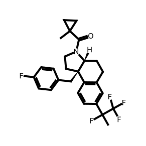 CC1(C(=O)N2CC[C@@]3(Cc4ccc(F)cc4)c4ccc(C(C)(F)C(F)(F)F)cc4CC[C@@H]23)CC1